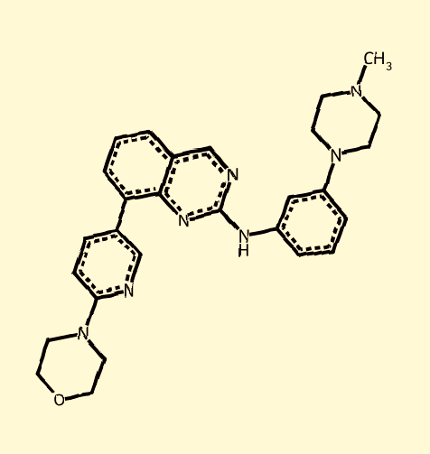 CN1CCN(c2cccc(Nc3ncc4cccc(-c5ccc(N6CCOCC6)nc5)c4n3)c2)CC1